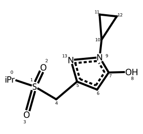 CC(C)S(=O)(=O)Cc1cc(O)n(C2CC2)n1